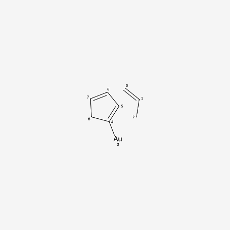 C=CC.[Au][C]1=CC=CC1